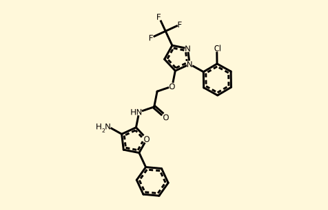 Nc1cc(-c2ccccc2)oc1NC(=O)COc1cc(C(F)(F)F)nn1-c1ccccc1Cl